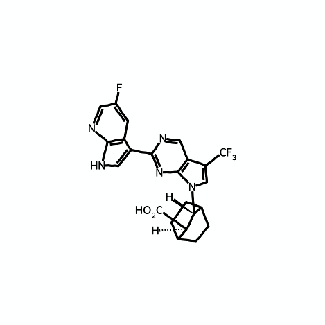 O=C(O)[C@@H]1C2CCC(CC2)[C@H]1n1cc(C(F)(F)F)c2cnc(-c3c[nH]c4ncc(F)cc34)nc21